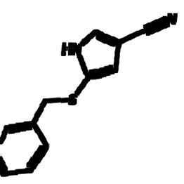 N#Cc1c[nH]c(SCc2ccccc2)c1